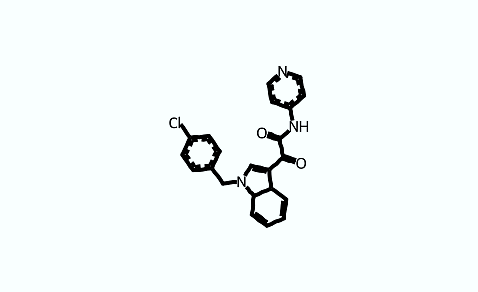 O=C(Nc1ccncc1)C(=O)C1=CN(Cc2ccc(Cl)cc2)C2C=CC=CC12